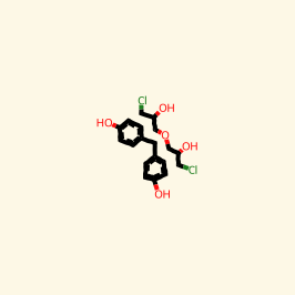 OC(CCl)COCC(O)CCl.Oc1ccc(Cc2ccc(O)cc2)cc1